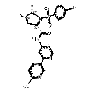 C[C@H]1[C@H](F)C[C@@H](C(=O)Nc2cc(-c3ccc(C(F)(F)F)nc3)ncn2)N1S(=O)(=O)c1ccc(F)cc1